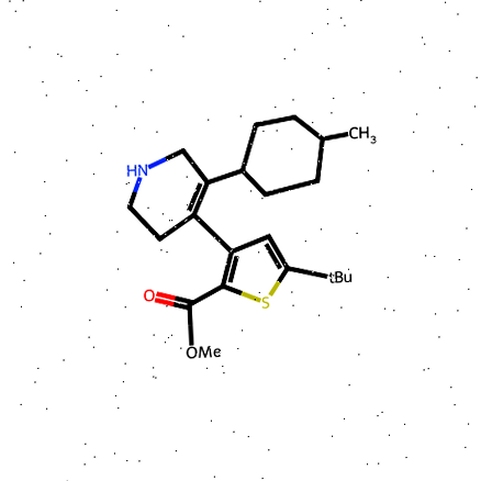 COC(=O)c1sc(C(C)(C)C)cc1C1=C(C2CCC(C)CC2)CNCC1